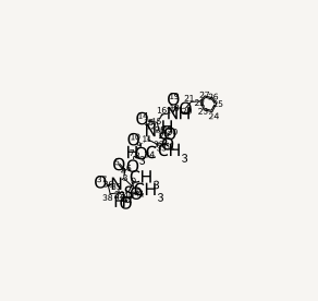 CC1(C)[C@H](C(=O)OCOC(=O)[C@@H]2N3C(=O)[C@@H](CNC(=O)OCc4ccccc4)[C@H]3S(=O)(=O)C2(C)C)N2C(=O)C[C@H]2S1(=O)=O